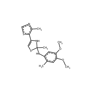 COc1cc(C)c(NC2(C)NC(c3scnc3C)=CS2)cc1OC